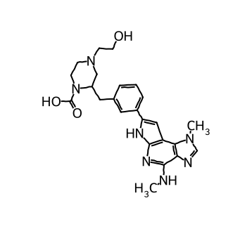 CNc1nc2[nH]c(-c3cccc(CC4CN(CCO)CCN4C(=O)O)c3)cc2c2c1ncn2C